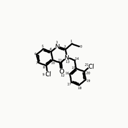 CCc1nc2cccc(Cl)c2c(=O)n1Cc1ccccc1Cl